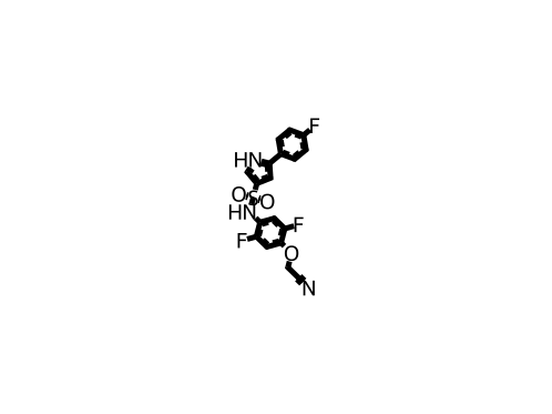 N#CCOc1cc(F)c(NS(=O)(=O)c2c[nH]c(-c3ccc(F)cc3)c2)cc1F